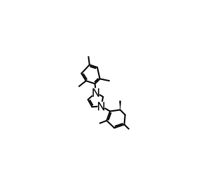 CC1=CC(C)=C(N2C=CN(c3c(C)cc(C)cc3C)C2)[C@@H](C)C1